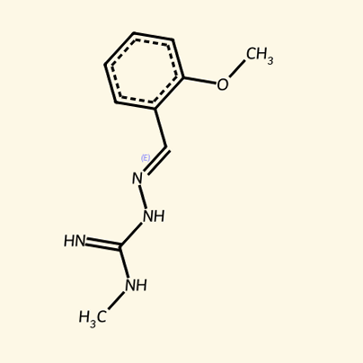 CNC(=N)N/N=C/c1ccccc1OC